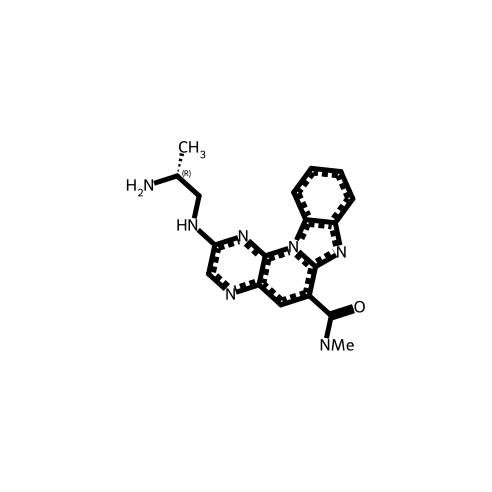 CNC(=O)c1cc2ncc(NC[C@@H](C)N)nc2n2c1nc1ccccc12